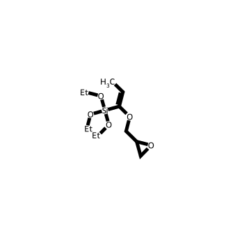 CC=C(OCC1CO1)[Si](OCC)(OCC)OCC